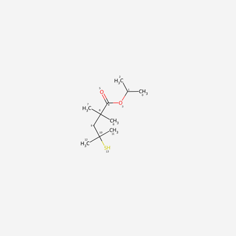 CC(C)OC(=O)C(C)(C)CC(C)(C)S